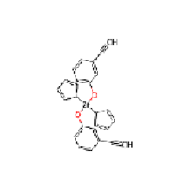 C#Cc1cccc([O][Zr]([O]c2cccc(C#C)c2)([CH]2C=CC=C2)[CH]2C=CC=C2)c1